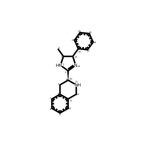 CC1NC([C@@H]2Cc3ccccc3CN2)=NC1c1ccccc1